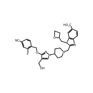 N#Cc1ccc(COc2nn(C3CCN(Cc4nc5ccc(C(=O)O)cc5n4CC4CCO4)CC3)cc2CO)c(F)c1